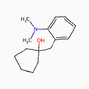 CN(C)c1ccccc1CC1(O)CCCCC1